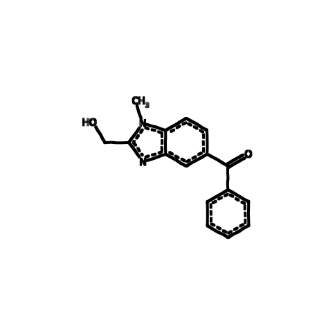 Cn1c(CO)nc2cc(C(=O)c3ccccc3)ccc21